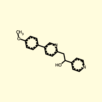 COc1ccc(-c2ccc(CC(O)c3ccncc3)nc2)cc1